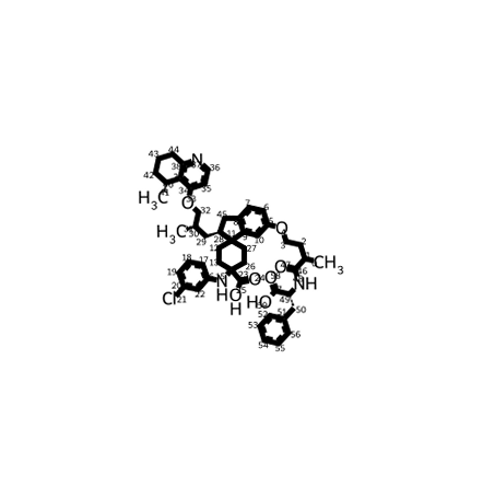 CC(CCOc1ccc2c(c1)C1(CCC(Nc3cccc(Cl)c3)(C(=O)O)CC1)[C@@H](C[C@@H](C)COc1ccnc3c1[C@H](C)CCC3)C2)C(=O)N[C@H](Cc1ccccc1)C(=O)O